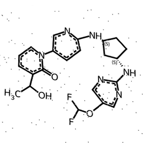 CC(O)c1cccn(-c2ccc(N[C@H]3CC[C@H](Nc4ncc(OC(F)F)cn4)C3)nc2)c1=O